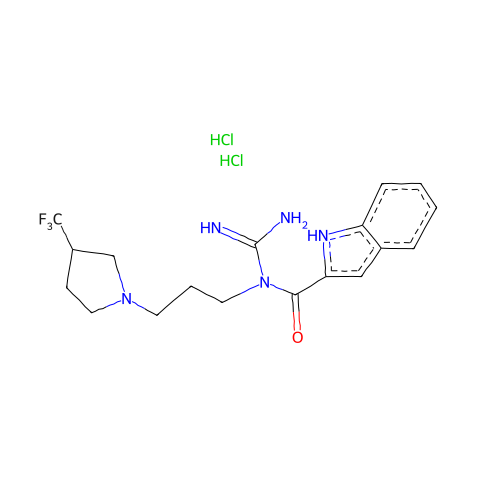 Cl.Cl.N=C(N)N(CCCN1CCC(C(F)(F)F)C1)C(=O)c1cc2ccccc2[nH]1